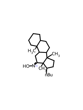 CCCCC1CCC2(C)C3CCC4CCCCC4(C)C3C/C(=N\O)C12C